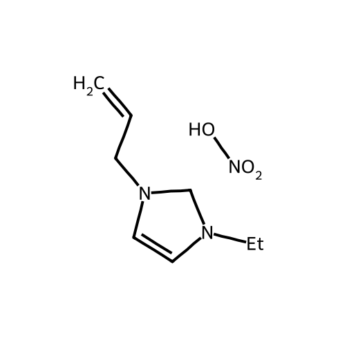 C=CCN1C=CN(CC)C1.O=[N+]([O-])O